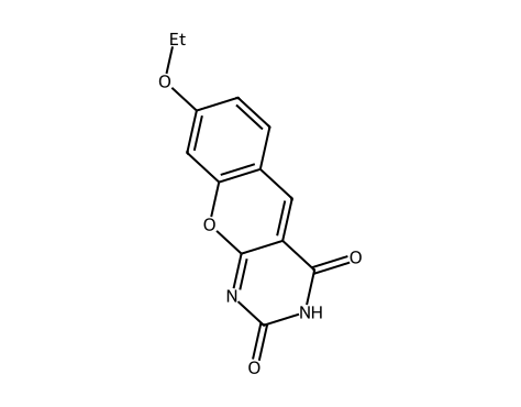 CCOc1ccc2cc3c(=O)[nH]c(=O)nc-3oc2c1